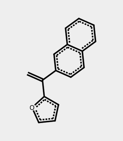 C=C(c1ccc2ccccc2c1)c1ccco1